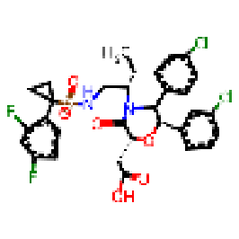 CC[C@@H](CNS(=O)(=O)C1(c2ccc(F)cc2F)CC1)N1C(=O)[C@@H](CC(=O)O)O[C@H](c2cccc(Cl)c2)C1c1ccc(Cl)cc1